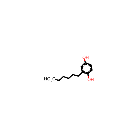 O=C(O)CCCCCc1cc(O)ccc1O